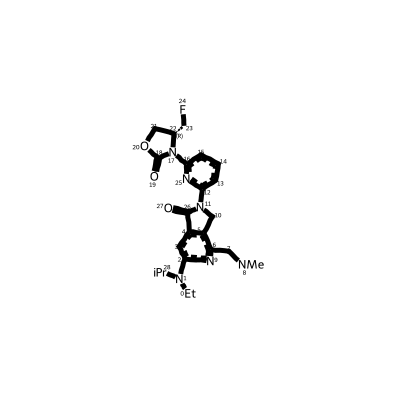 CCN(c1cc2c(c(CNC)n1)CN(c1cccc(N3C(=O)OC[C@@H]3CF)n1)C2=O)C(C)C